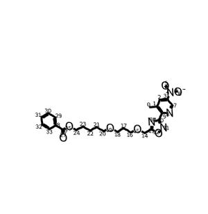 Cc1cc([N+](=O)[O-])cnc1-c1noc(COCCCOCCCCCOC(=O)c2ccccc2)n1